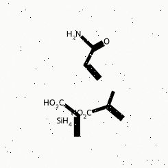 C=C(C)C(=O)O.C=CC(=O)O.C=CC(N)=O.[SiH4]